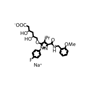 COc1ccccc1CNC(=O)c1nn(-c2ccc(F)cc2)c(OC[C@@H](O)C[C@@H](O)CC(=O)[O-])c1C(C)C.[Na+]